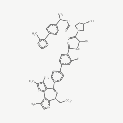 Cc1ncsc1-c1ccc(C(C)NC(=O)[C@@H]2C[C@@H](O)CN2C(=O)C(NC(=O)c2ccc(-c3ccc(C4=N[C@@H](CC(=O)O)c5nnc(C)n5-c5sc(C)c(C)c54)cc3)cc2F)C(C)(C)C)cc1